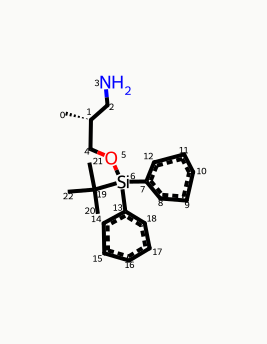 C[C@H](CN)CO[Si](c1ccccc1)(c1ccccc1)C(C)(C)C